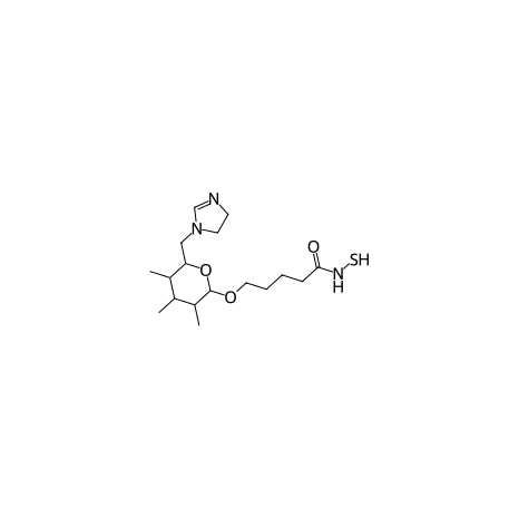 CC1C(CN2C=NCC2)OC(OCCCCC(=O)NS)C(C)C1C